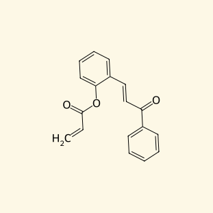 C=CC(=O)Oc1ccccc1C=CC(=O)c1ccccc1